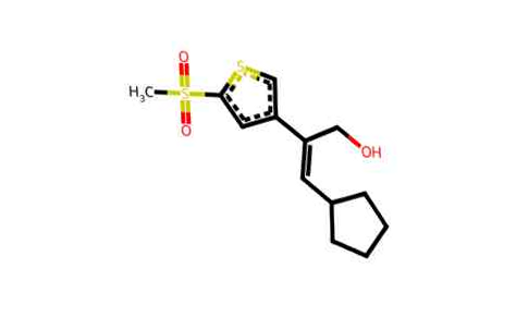 CS(=O)(=O)c1cc(C(=CC2CCCC2)CO)cs1